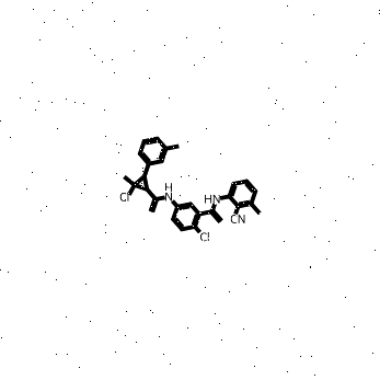 C=C(Nc1cccc(C)c1C#N)c1cc(NC(=C)C2C(c3cccc(C)c3)C2(C)Cl)ccc1Cl